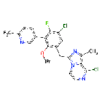 Cc1nc(Cc2cc(Cl)c(F)c(-c3ccc(C(F)(F)F)nc3)c2OC(C)C)n2ccnc(Cl)c12